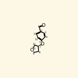 O=Cc1ccc(O[C@H]2CCOC2)cc1